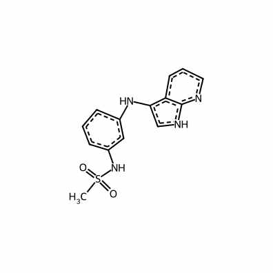 CS(=O)(=O)Nc1cccc(Nc2c[nH]c3ncccc23)c1